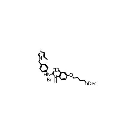 CCCCCCCCCCCCCCOc1ccc(NC(=O)Nc2ccc(C[n+]3cscc3C)cc2)c(Cl)c1.[Br-]